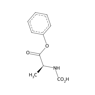 C[C@H](NC(=O)O)C(=O)Oc1ccccc1